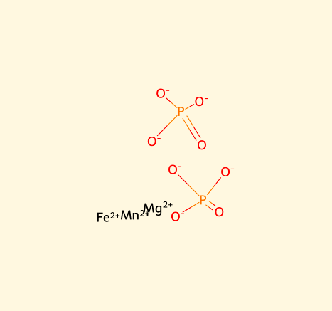 O=P([O-])([O-])[O-].O=P([O-])([O-])[O-].[Fe+2].[Mg+2].[Mn+2]